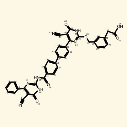 N#Cc1c(-c2ccccc2)nc(NC(=O)c2ccc(-c3ccc(-c4nc(OCc5cccc(CC(=O)O)c5)[nH]c(=O)c4C#N)cc3)cc2)[nH]c1=O